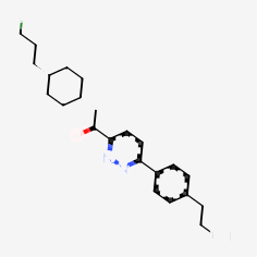 CCCc1ccc(-c2ccc(C(=O)C[C@H]3CC[C@H](CCCCl)CC3)nn2)cc1